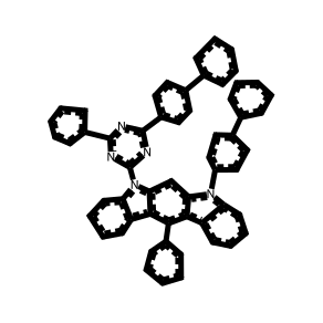 c1ccc(-c2ccc(-c3nc(-c4ccccc4)nc(-n4c5ccccc5c5c(-c6ccccc6)c6c7ccccc7n(-c7ccc(-c8ccccc8)cc7)c6cc54)n3)cc2)cc1